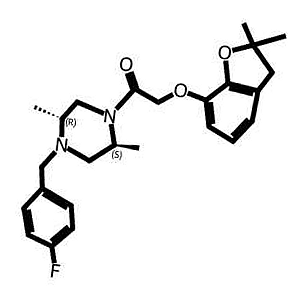 C[C@@H]1CN(C(=O)COc2cccc3c2OC(C)(C)C3)[C@@H](C)CN1Cc1ccc(F)cc1